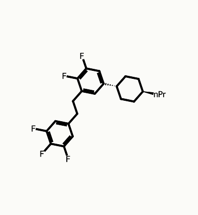 CCC[C@H]1CC[C@H](c2cc(F)c(F)c(CCc3cc(F)c(F)c(F)c3)c2)CC1